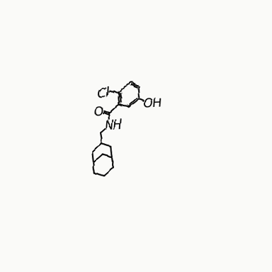 O=C(NCC1CC2CCCC(C2)C1)c1cc(O)ccc1Cl